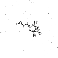 COCCN1C[C@H]2C[C@@H]1C[C@H]2[O]